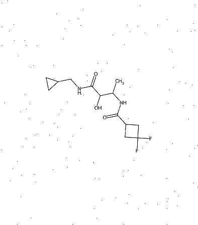 CC(NC(=O)C1CC(F)(F)C1)C(O)C(=O)NCC1CC1